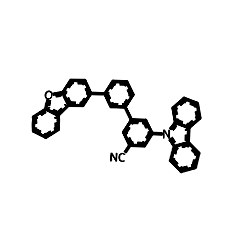 N#Cc1cc(-c2cccc(-c3ccc4oc5ccccc5c4c3)c2)cc(-n2c3ccccc3c3ccccc32)c1